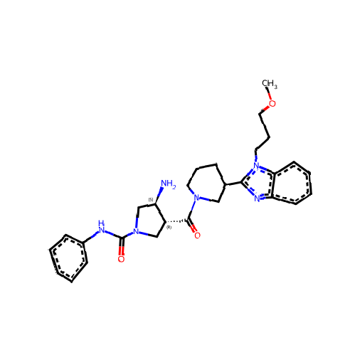 COCCCn1c(C2CCCN(C(=O)[C@@H]3CN(C(=O)Nc4ccccc4)C[C@H]3N)C2)nc2ccccc21